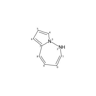 C1=CNn2cccc2C=C1